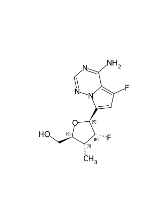 C[C@H]1[C@@H](F)[C@H](c2cc(F)c3c(N)ncnn23)O[C@@H]1CO